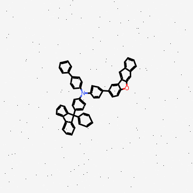 c1ccc(-c2ccc(N(c3ccc(-c4ccc5oc6cc7ccccc7cc6c5c4)cc3)c3ccc(C4(c5ccccc5)c5ccccc5-c5ccccc54)cc3)cc2)cc1